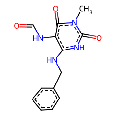 Cn1c(=O)[nH]c(NCc2ccccc2)c(NC=O)c1=O